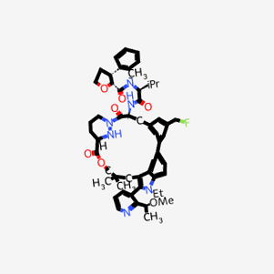 CCn1c(-c2cccnc2[C@H](C)OC)c2c3cc(ccc31)-c1cc(CF)cc(c1)C[C@H](NC(=O)[C@H](C(C)C)N(C)C(=O)[C@@H]1OCC[C@@H]1c1ccccc1)C(=O)N1CCC[C@H](N1)C(=O)OCC(C)(C)C2